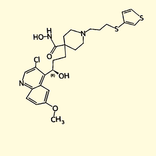 COc1ccc2ncc(Cl)c([C@H](O)CCC3(C(=O)NO)CCN(CCCSc4ccsc4)CC3)c2c1